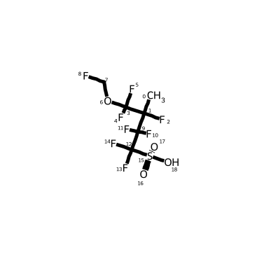 CC(F)(C(F)(F)OCF)C(F)(F)C(F)(F)S(=O)(=O)O